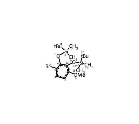 COc1ccc(Br)c(O[Si](C)(C)C(C)(C)C)c1O[Si](C)(C)C(C)(C)C